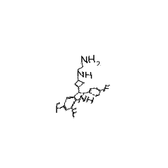 NCCCNCC1CC(C2c3cc(F)cc(F)c3NC2c2ccc(F)cc2)C1